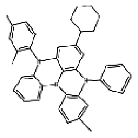 Cc1ccc(N2c3ccccc3B3c4ccc(C)cc4N(c4ccccc4)c4cc(C5CCCCC5)cc2c43)c(C)c1